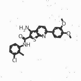 COc1ccc(-c2ccc3c(N)c(C(=O)Nc4cccc(Cl)c4C)sc3n2)cc1OC